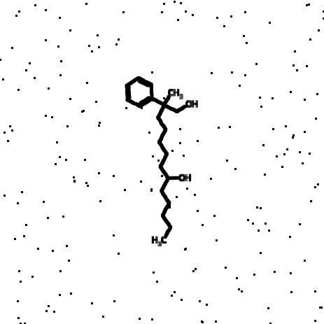 CCCCCC(O)CCCCCC(C)(CO)c1ccccc1